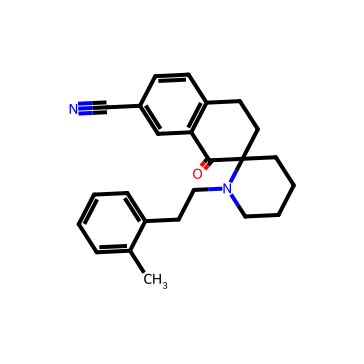 Cc1ccccc1CCN1CCCCC12CCc1ccc(C#N)cc1C2=O